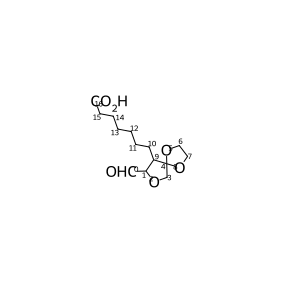 O=CC1OCC2(OCCO2)C1CCCCCCC(=O)O